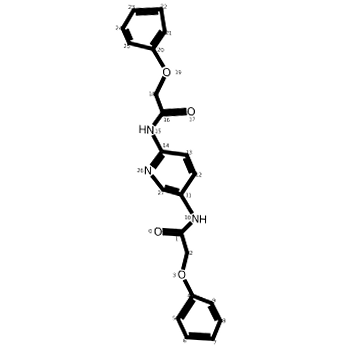 O=C(COc1ccccc1)Nc1ccc(NC(=O)COc2ccccc2)nc1